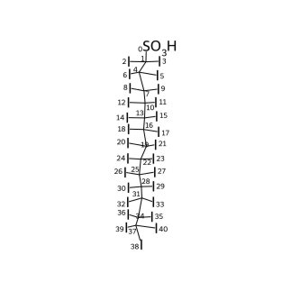 O=S(=O)(O)C(I)(I)C(I)(I)C(I)(I)C(I)(I)C(I)(I)C(I)(I)C(I)(I)C(I)(I)C(I)(I)C(I)(I)C(I)(I)C(I)(I)C(I)(I)I